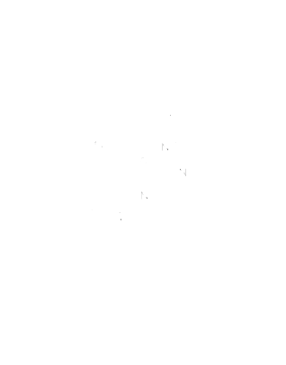 Cc1nn(C)c(=O)n1N(C)C